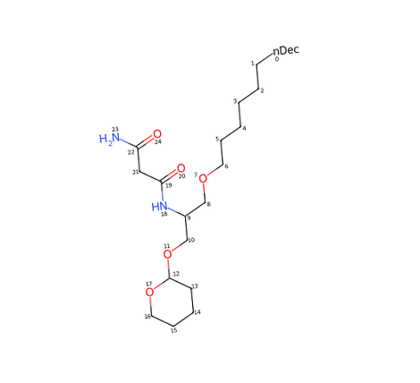 CCCCCCCCCCCCCCCCOCC(COC1CCCCO1)NC(=O)CC(N)=O